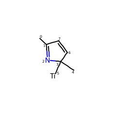 CC1=N[C](C)([Ti])C=C1